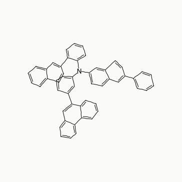 c1ccc(-c2ccc3cc(N(c4cccc(-c5cc6ccccc6c6ccccc56)c4)c4ccccc4-c4ccc5ccccc5c4)ccc3c2)cc1